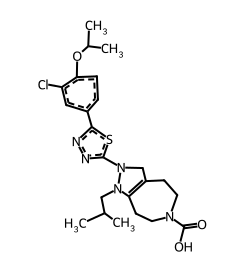 CC(C)CN1C2=C(CCN(C(=O)O)CC2)CN1c1nnc(-c2ccc(OC(C)C)c(Cl)c2)s1